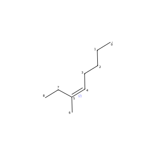 [CH2]CCC/C=C(/C)CC